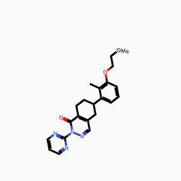 COCCOc1cccc(C2CCc3c(cnn(-c4ncccn4)c3=O)C2)c1C